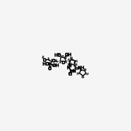 COC[C@@H](OC[C@H]1O[C@@H](c2ccc3c(NC4CCCC4)nc(Cl)nn23)[C@H](O)[C@@H]1O)P(=O)(O)O